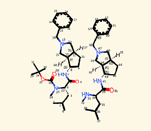 CC(C)C[C@@H](C(=O)N[C@H]1CC[C@@H]2CN(Cc3ccccc3)C[C@@H]21)N(C)C(=O)OC(C)(C)C.CNC(CC(C)C)C(=O)N[C@H]1CC[C@@H]2CN(Cc3ccccc3)C[C@@H]21